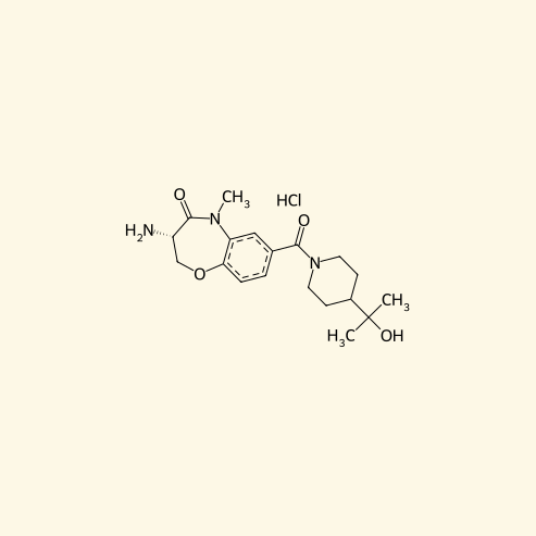 CN1C(=O)[C@@H](N)COc2ccc(C(=O)N3CCC(C(C)(C)O)CC3)cc21.Cl